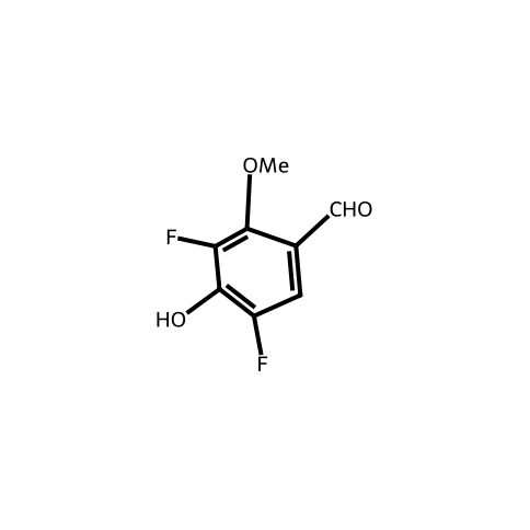 COc1c(C=O)cc(F)c(O)c1F